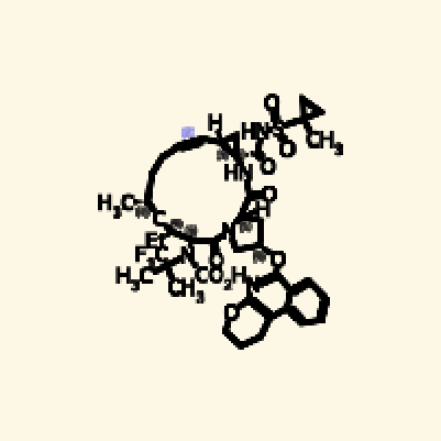 CC[C@@H]1C[C@H](C)CC/C=C\[C@@H]2C[C@@]2(C(=O)NS(=O)(=O)C2(C)CC2)NC(=O)[C@@H]2C[C@@H](Oc3nc4c(c5ccccc35)CCCO4)CN2C(=O)[C@H]1N(C(=O)O)C(C)(C)C(F)(F)F